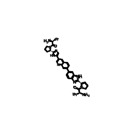 CC(C)[C@H](N)C(=O)N1CCC[C@H]1c1ncc(-c2cnc3cc(-c4ccc5nc([C@@H]6CCCN6C(=O)[C@@H](N)C(C)C)[nH]c5c4)ccc3c2)[nH]1